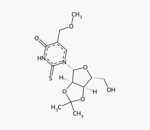 COCc1cn([C@@H]2O[C@H](CO)[C@H]3OC(C)(C)O[C@H]32)c(=S)[nH]c1=O